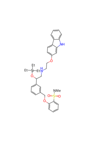 CC[Si](CC)(CC)OC(CNCCOc1ccc2c(c1)[nH]c1ccccc12)c1cccc(COc2ccccc2S(=O)(=O)NC)c1